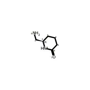 NC[C@H]1CCCC(=O)N1